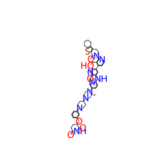 C[C@H]1CN(C2CCN(c3cccc(OC4CCC(=O)NC4=O)c3)CC2)CCN1c1ccc(Nc2cc(-c3ccnc(N4CCc5c(sc6c5CCCC6)C4=O)c3CO)cn(C)c2=O)nc1